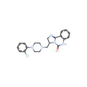 O=C1Nc2ccccc2C2=NCC(CN3CCN(c4ccccc4Cl)CC3)N12